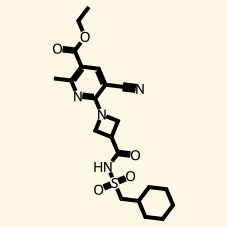 CCOC(=O)c1cc(C#N)c(N2CC(C(=O)NS(=O)(=O)CC3CCCCC3)C2)nc1C